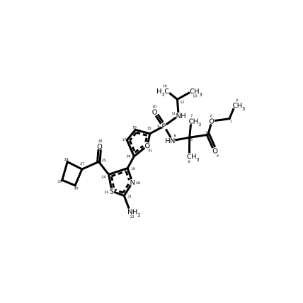 CCOC(=O)C(C)(C)NP(=O)(NC(C)C)c1ccc(-c2nc(N)sc2C(=O)C2CCC2)o1